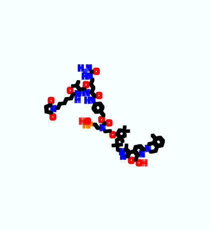 Cc1cccc2c1CN(c1ccc(-c3cnn(CC(C)(C)CC4(C)CC(C)(C)CC4OCCN(CCPO)C(=O)OCc4ccc(NC(=O)C(CCCNC(N)=O)NC(=O)[C@@H](NC(=O)CCCCCN5C(=O)C=CC5=O)C(C)C)cc4)c3C)c(C(=O)O)n1)CC2